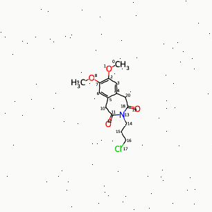 COc1cc2c(cc1OC)CC(=O)N(CCCCl)C(=O)C2